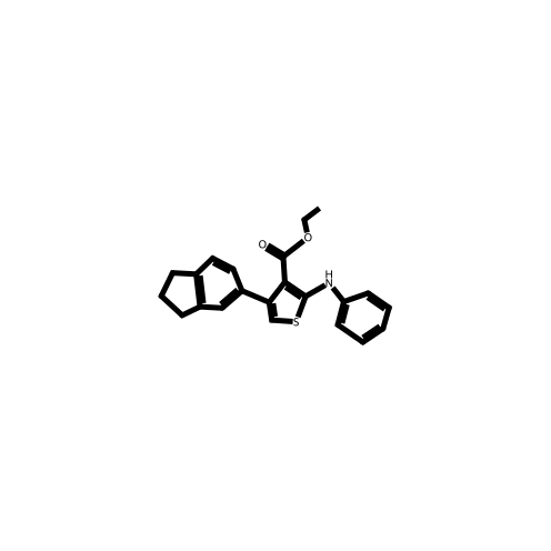 CCOC(=O)c1c(-c2ccc3c(c2)CCC3)csc1Nc1ccccc1